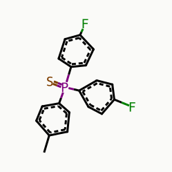 Cc1ccc(P(=S)(c2ccc(F)cc2)c2ccc(F)cc2)cc1